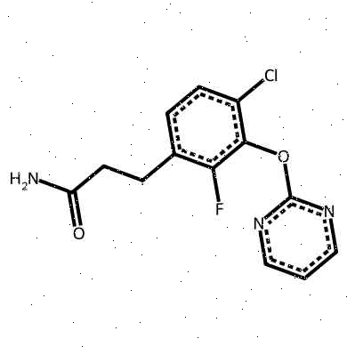 NC(=O)C[CH]c1ccc(Cl)c(Oc2ncccn2)c1F